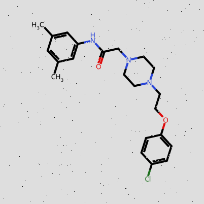 Cc1cc(C)cc(NC(=O)CN2CCN(CCOc3ccc(Cl)cc3)CC2)c1